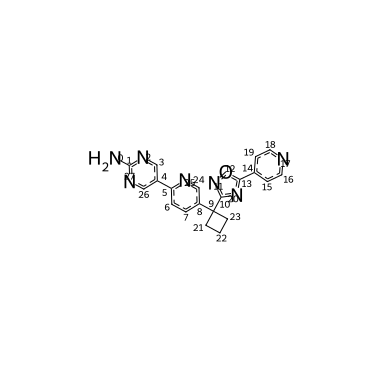 Nc1ncc(-c2ccc(C3(c4noc(-c5ccncc5)n4)CCC3)cn2)cn1